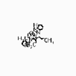 C=CC1=C(N(Cc2ccccn2)C(C)=O)N([S+]([O-])c2nc3ccccc3[nH]2)[C@H]1CCCC